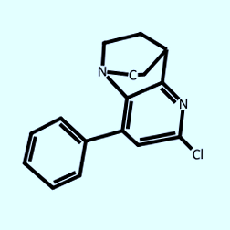 Clc1cc(-c2ccccc2)c2c(n1)C1CCN2CC1